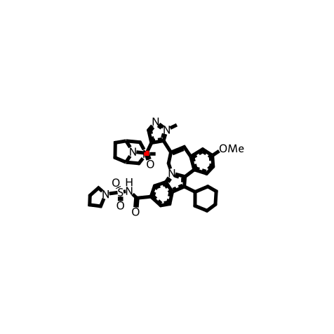 COc1ccc2c(c1)C=C(c1c(C(=O)N3C4CCC3CN(C)C4)cnn1C)Cn1c-2c(C2CCCCC2)c2ccc(C(=O)NS(=O)(=O)N3CCCC3)cc21